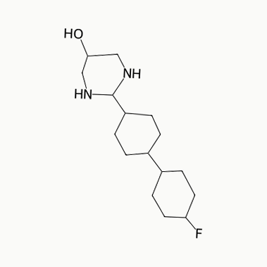 OC1CNC(C2CCC(C3CCC(F)CC3)CC2)NC1